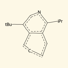 CC(C)c1ncc(C(C)(C)C)c2ccccc12